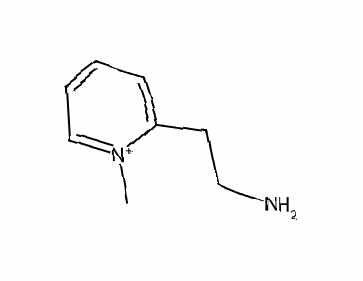 C[n+]1ccccc1CCN